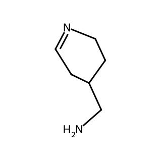 NCC1CC=NCC1